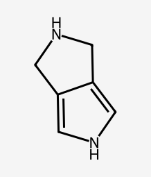 c1[nH]cc2c1CNC2